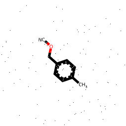 Cc1ccc(COC#N)cc1